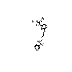 CCCN=C(N)Nc1ccnc(CCCCCNC(=O)c2cccnc2)n1